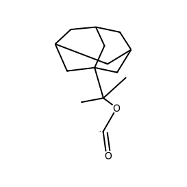 CC(C)(O[C]=O)C12CC3CC(CC(C3)C1)C2